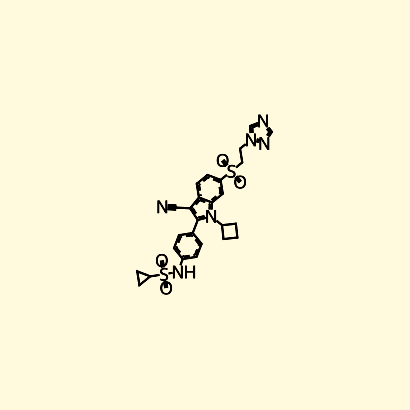 N#Cc1c(-c2ccc(NS(=O)(=O)C3CC3)cc2)n(C2CCC2)c2cc(S(=O)(=O)CCn3cncn3)ccc12